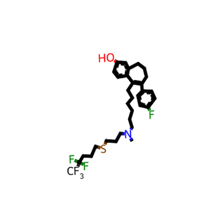 CN(CCCCCCC1=C(c2ccc(F)cc2)CCCc2cc(O)ccc21)CCCSCCCC(F)(F)C(F)(F)F